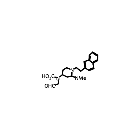 CNC1CC(N(CC=O)C(=O)O)CCN1CCc1ccc2ccccc2c1